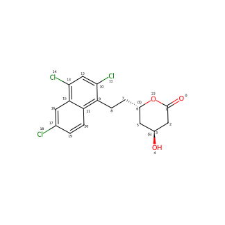 O=C1C[C@@H](O)C[C@H](CCc2c(Cl)cc(Cl)c3cc(Cl)ccc23)O1